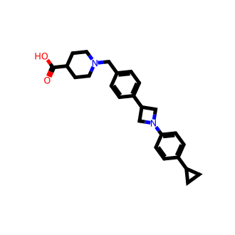 O=C(O)C1CCN(Cc2ccc(C3CN(c4ccc(C5CC5)cc4)C3)cc2)CC1